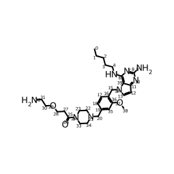 CCCCCNc1nc(N)nc2ccn(Cc3ccc(CN4CCN(C(=O)CCOCCN)CC4)cc3OC)c12